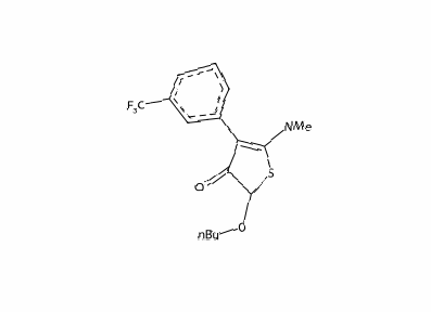 CCCCOC1SC(NC)=C(c2cccc(C(F)(F)F)c2)C1=O